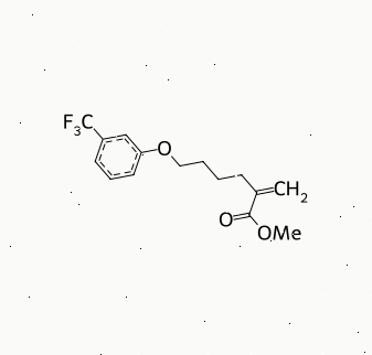 C=C(CCCCOc1cccc(C(F)(F)F)c1)C(=O)OC